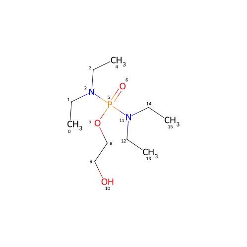 CCN(CC)P(=O)(OCCO)N(CC)CC